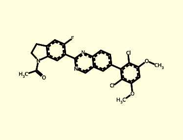 COc1cc(OC)c(Cl)c(-c2ccc3nc(-c4cc5c(cc4F)CCN5C(C)=O)ncc3c2)c1Cl